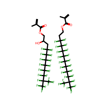 C=C(C)C(=O)OCC(O)CC(F)(F)C(F)(F)C(F)(F)C(F)(F)C(F)(F)C(F)(F)C(F)(C(F)(F)F)C(F)(F)F.C=C(C)C(=O)OCCC(F)(F)C(F)(F)C(F)(F)C(F)(F)C(F)(F)C(F)(F)C(F)(F)C(F)(F)C(F)(C(F)(F)F)C(F)(F)F